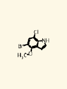 COc1c(Br)cc(Cl)c2[nH]ccc12